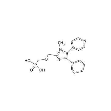 Cn1c(COCP(=O)(O)O)nc(-c2ccccc2)c1-c1ccncc1